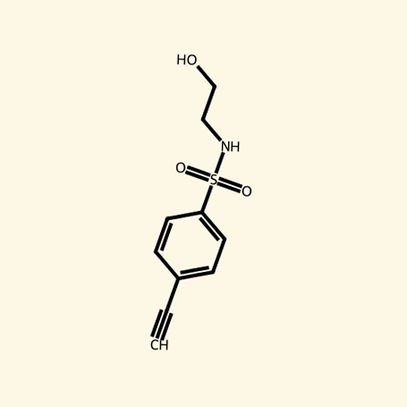 C#Cc1ccc(S(=O)(=O)NCCO)cc1